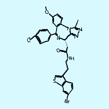 COc1ccc2c(c1)C(c1ccc(Cl)cc1)=N[C@@H](CC(=O)NCCc1csc3cc(Br)ccc13)c1nnc(C)n1-2